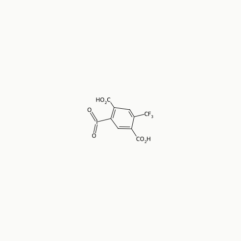 O=C(O)c1cc(C(F)(F)F)c(C(=O)O)cc1I(=O)=O